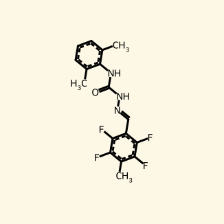 Cc1cccc(C)c1NC(=O)N/N=C/c1c(F)c(F)c(C)c(F)c1F